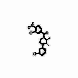 C[C@H]1[C@H](C)N(c2cc(Cl)ccn2)CCN1C(=O)c1ccc([S+](C)[O-])c(Cl)c1